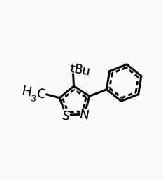 Cc1snc(-c2ccccc2)c1C(C)(C)C